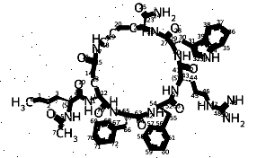 CCCC[C@H](NC(C)=O)C(=O)N[C@H]1CCC(=O)NCCCC[C@@H](C(N)=O)NC(=O)[C@H](Cc2c[nH]c3ccccc23)NC(=O)[C@H](CCCNC(=N)N)NC(=O)[C@@H](Cc2ccccc2)NC(=O)[C@H](Cc2ccccc2)NC1=O